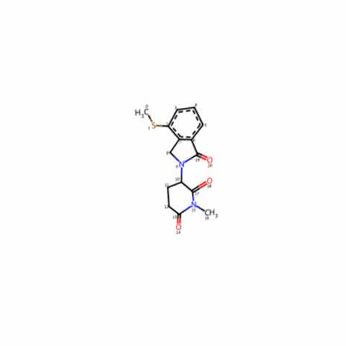 CSc1cccc2c1CN(C1CCC(=O)N(C)C1=O)C2=O